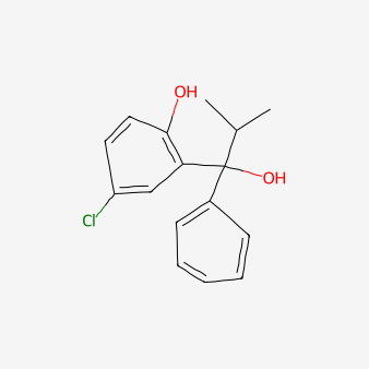 CC(C)C(O)(c1ccccc1)c1cc(Cl)ccc1O